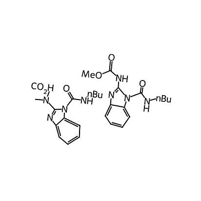 CCCCNC(=O)n1c(N(C)C(=O)O)nc2ccccc21.CCCCNC(=O)n1c(NC(=O)OC)nc2ccccc21